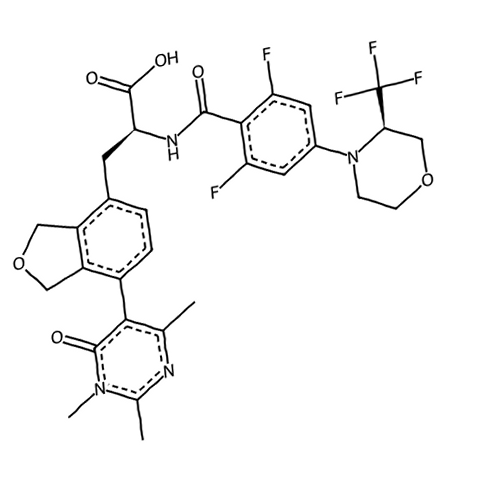 Cc1nc(C)n(C)c(=O)c1-c1ccc(C[C@H](NC(=O)c2c(F)cc(N3CCOC[C@@H]3C(F)(F)F)cc2F)C(=O)O)c2c1COC2